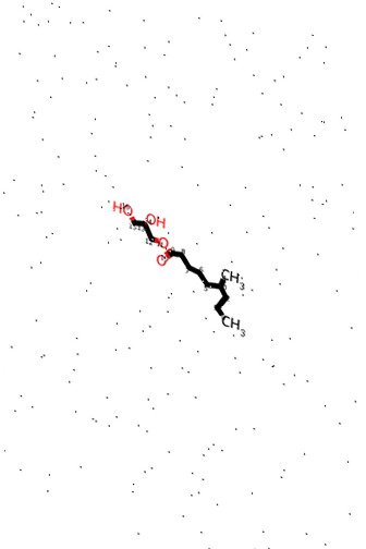 CCCC(C)CCCCC(=O)OCC(O)CO